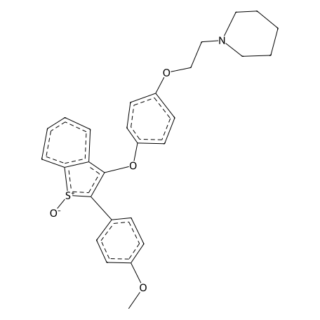 COc1ccc(-c2c(Oc3ccc(OCCN4CCCCC4)cc3)c3ccccc3[s+]2[O-])cc1